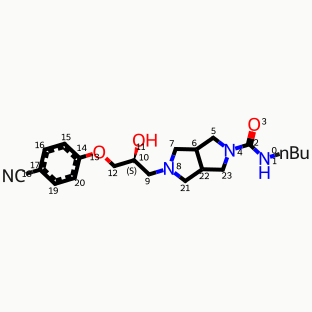 CCCCNC(=O)N1CC2CN(C[C@H](O)COc3ccc(C#N)cc3)CC2C1